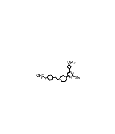 COC1CC(c2cc(N3CCCN(CCC4CCC(NC=O)CC4)CC3)nc(C(C)(C)C)n2)C1